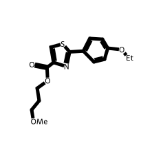 CCOc1ccc(-c2nc(C(=O)OCCCOC)cs2)cc1